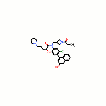 C=CC(=O)N1CC(CN2C(=O)C(CCCN3CCCC3)Oc3cc(-c4cc(O)cc5ccccc45)c(Cl)cc32)C1